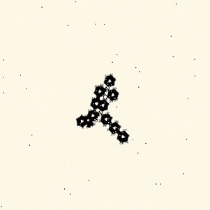 CC1(C)c2ccccc2-c2ccc(N(c3ccc(-c4ccc(-c5ccccc5)cc4)cc3)c3ccc4c5c(cccc35)-c3cccc(N(c5ccccc5)c5ccccc5)c3O4)cc21